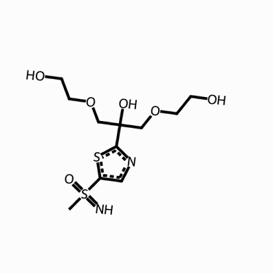 CS(=N)(=O)c1cnc(C(O)(COCCO)COCCO)s1